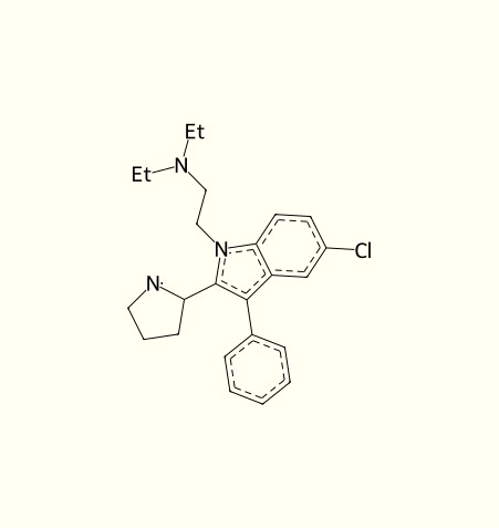 CCN(CC)CCn1c(C2CCC[N]2)c(-c2ccccc2)c2cc(Cl)ccc21